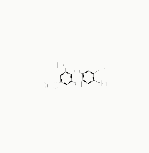 Cc1cc(OCC(C)C)cc(C)c1Oc1ccc(C(C)C)c(C(C)C)c1